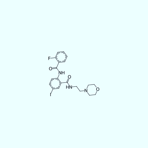 O=C(Nc1ccc(I)cc1C(=O)NCCN1CCOCC1)c1ccccc1F